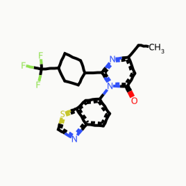 CCc1cc(=O)n(-c2ccc3ncsc3c2)c(C2CCC(C(F)(F)F)CC2)n1